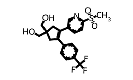 CS(=O)(=O)c1ccc(C2=C(c3ccc(C(F)(F)F)cc3)CC(CO)(CO)C2)cn1